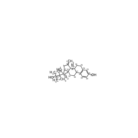 C=C1C[C@](O)(CC(C)(C)[Si](C)(C)O)[C@@]2(C)CCC3c4ccc(O)cc4CCC3[C@H]12